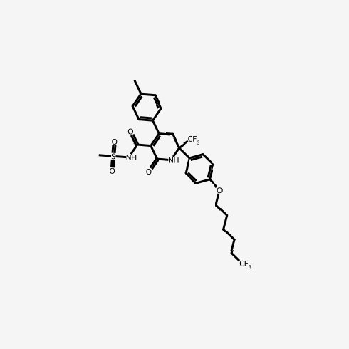 Cc1ccc(C2=C(C(=O)NS(C)(=O)=O)C(=O)NC(c3ccc(OCCCCCC(F)(F)F)cc3)(C(F)(F)F)C2)cc1